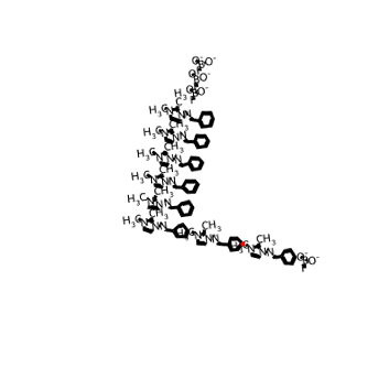 Cc1n(C)cc[n+]1N=Cc1ccccc1.Cc1n(C)cc[n+]1N=Cc1ccccc1.Cc1n(C)cc[n+]1N=Cc1ccccc1.Cc1n(C)cc[n+]1N=Cc1ccccc1.Cc1n(C)cc[n+]1N=Cc1ccccc1.Cc1n(C)cc[n+]1N=Cc1ccccc1.Cc1n(C)cc[n+]1N=Cc1ccccc1.Cc1n(C)cc[n+]1N=Cc1ccccc1.[O-]B([O-])F.[O-]B([O-])F.[O-]B([O-])F.[O-]B([O-])F